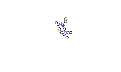 c1ccc(-c2cccc3c2c2cc4ccccc4cc2n3-c2ccc(-c3nc(-c4ccc5ccccc5c4)nc(-c4ccc5ccccc5c4)n3)cc2-c2cccc3sc4ccccc4c23)cc1